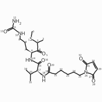 CSC(C)C(=O)[C@H](CCCNC(N)=O)NC(=O)[C@@H](NC(=O)CCCCCN1C(=O)C=CC1=O)C(C)C